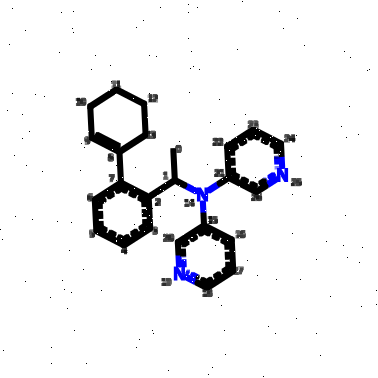 CC(c1ccccc1C1=CCCCC1)N(c1cccnc1)c1cccnc1